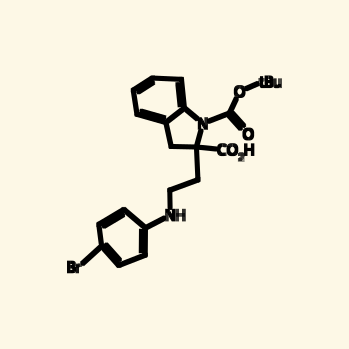 CC(C)(C)OC(=O)N1c2ccccc2CC1(CCNc1ccc(Br)cc1)C(=O)O